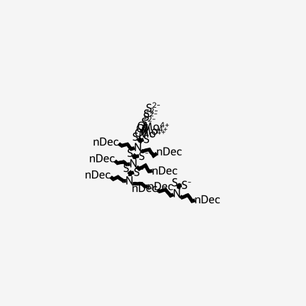 CCCCCCCCCCCCCN(CCCCCCCCCCCCC)C(=S)[S-].CCCCCCCCCCCCCN(CCCCCCCCCCCCC)C(=S)[S-].CCCCCCCCCCCCCN(CCCCCCCCCCCCC)C(=S)[S-].CCCCCCCCCCCCCN(CCCCCCCCCCCCC)C(=S)[S-].[O]=[Mo+4].[O]=[Mo+4].[O]=[Mo+4].[S-2].[S-2].[S-2].[S-2]